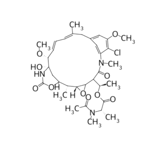 COc1cc2cc(c1Cl)N(C)C(=O)C([C@@H](C)OC(=O)[C@H](C)N(C)C(C)=O)C1O[C@@H]1[C@H](C)[C@@H]1C[C@@](O)(NC(=O)O1)[C@H](OC)/C=C/C=C(\C)C2